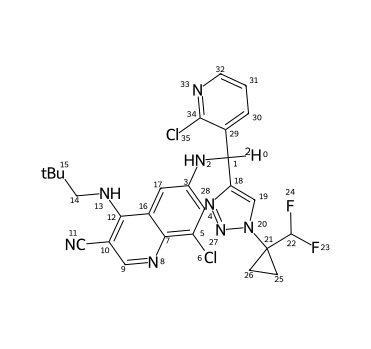 [2H]C(Nc1cc(Cl)c2ncc(C#N)c(NCC(C)(C)C)c2c1)(c1cn(C2(C(F)F)CC2)nn1)c1cccnc1Cl